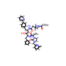 CCC(C)C(C(=O)NC(Cc1ccccc1)C(O)CC(Cc1ccc(-c2ccccn2)cc1)NC(=O)CC(C)(C)CNC(=O)OC)N1CCN(Cc2cccc(C)n2)C1=O